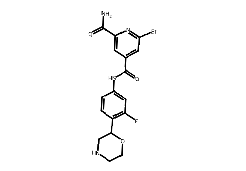 CCc1cc(C(=O)Nc2ccc(C3CNCCO3)c(F)c2)cc(C(N)=O)n1